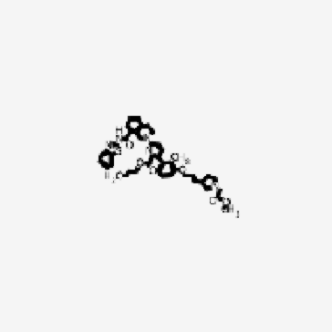 CCCCOC(=O)c1nc(N2CCc3cccc(C(=O)Nc4nc5ccccc5s4)c3C2)ccc1-c1cccc(OCCCC2CCN(CC(=O)OC)C2)c1C